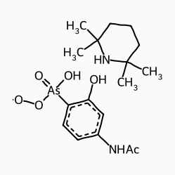 CC(=O)Nc1ccc([As](=O)(O)O[O])c(O)c1.CC1(C)CCCC(C)(C)N1